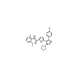 CCc1cccc(C)c1NC(=O)c1ccc(-c2c(-c3ccc(F)cc3)ncn2C2CCCC2)o1